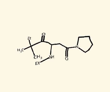 CCNC(CC(=O)N1CCCC1)C(=O)C(C)(C)CC